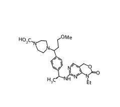 CCN1C(=O)OCc2cnc(N[C@@H](C)c3ccc(C(CCOC)N4CCN(C(=O)O)CC4)cc3)nc21